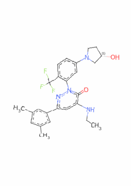 CCNc1cc(-c2cc(C)cc(C)c2)nn(-c2cc(N3CC[C@H](O)C3)ccc2C(F)(F)F)c1=O